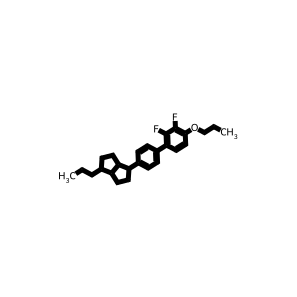 CCCOc1ccc(-c2ccc(C3CCC4C(CCC)CCC34)cc2)c(F)c1F